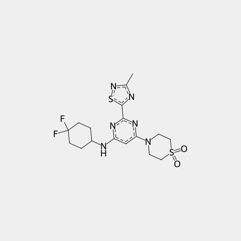 Cc1nsc(-c2nc(NC3CCC(F)(F)CC3)cc(N3CCS(=O)(=O)CC3)n2)n1